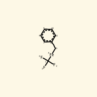 F[C](F)(F)[Fe][CH2]c1ccccc1